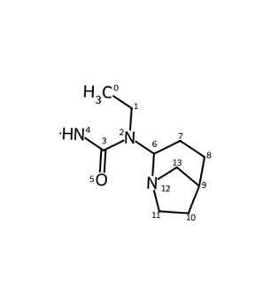 CCN(C([NH])=O)C1CCC2CCN1C2